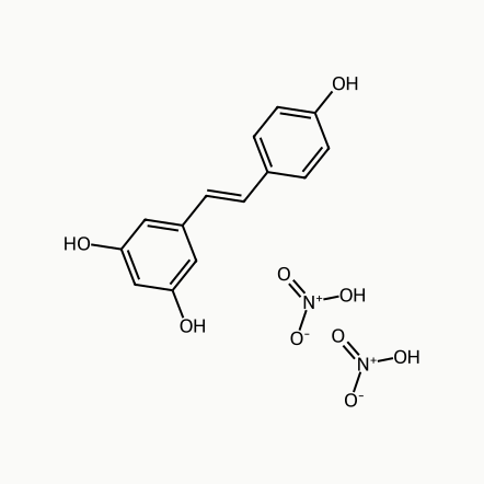 O=[N+]([O-])O.O=[N+]([O-])O.Oc1ccc(C=Cc2cc(O)cc(O)c2)cc1